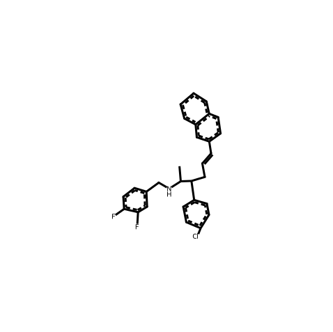 CC(NCc1ccc(F)c(F)c1)C(CC=Cc1ccc2ccccc2c1)c1ccc(Cl)cc1